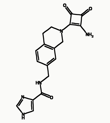 Nc1c(N2CCc3ccc(CNC(=O)c4c[nH]cn4)cc3C2)c(=O)c1=O